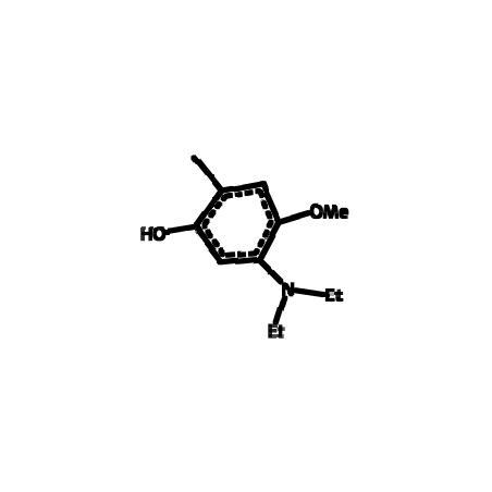 CCN(CC)c1cc(O)c(C)cc1OC